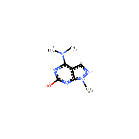 CN(C)c1nc(O)nc2c1cnn2C